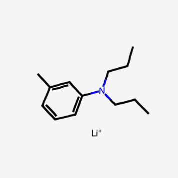 CCCN(CCC)c1cccc(C)c1.[Li+]